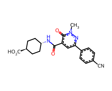 Cn1nc(-c2ccc(C#N)cc2)cc(C(=O)N[C@H]2CC[C@H](C(=O)O)CC2)c1=O